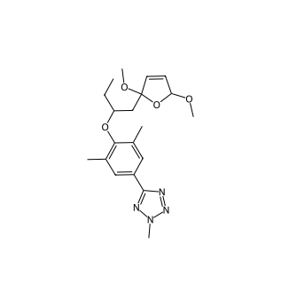 CCC(CC1(OC)C=CC(OC)O1)Oc1c(C)cc(-c2nnn(C)n2)cc1C